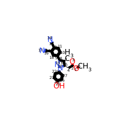 COC(=O)C[C@H]1[C@H](C)C(c2ccc(C#N)c(C#N)c2)=NN1c1ccc(O)cc1